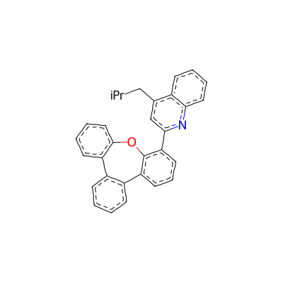 CC(C)Cc1cc(-c2cccc3c2Oc2ccccc2-c2ccccc2-3)nc2ccccc12